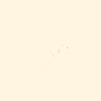 Cc1cc(-n2ccnc2)cc2[nH]c(-c3c(NCc4cccnc4)cc[nH]c3=O)nc12